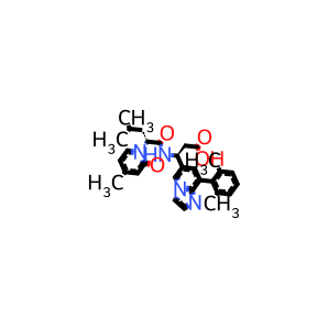 Cc1ccn([C@H](CC(C)C)C(=O)N[C@@H](CC(=O)O)c2cc(-c3c(C)cccc3C)c3nccn3c2)c(=O)c1